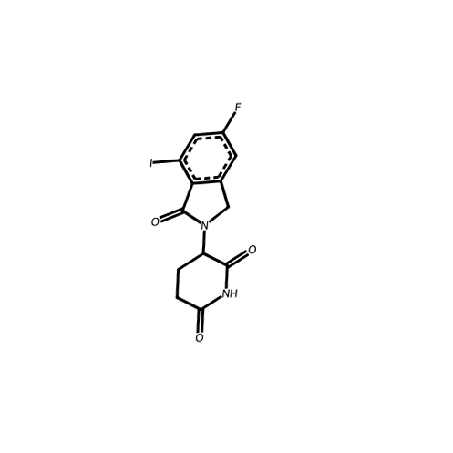 O=C1CCC(N2Cc3cc(F)cc(I)c3C2=O)C(=O)N1